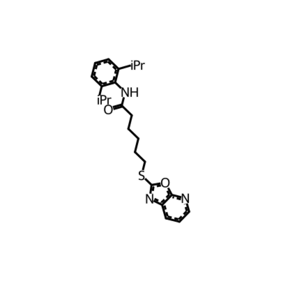 CC(C)c1cccc(C(C)C)c1NC(=O)CCCCCSc1nc2cccnc2o1